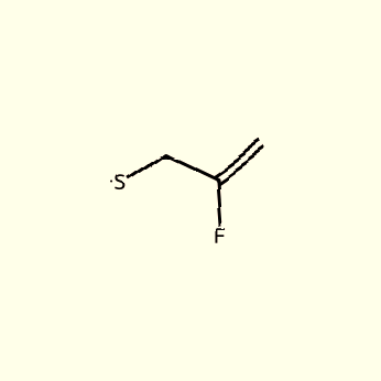 C=C(F)C[S]